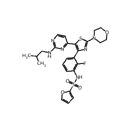 CC(C)CNc1nccc(-c2sc(N3CCOCC3)nc2-c2cccc(NS(=O)(=O)c3ccco3)c2F)n1